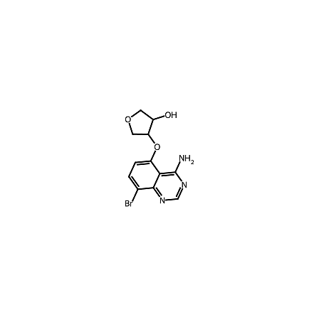 Nc1ncnc2c(Br)ccc(OC3COCC3O)c12